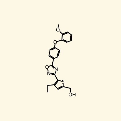 CCc1cc(CO)sc1-c1noc(-c2ccc(Oc3ccccc3OC)cc2)n1